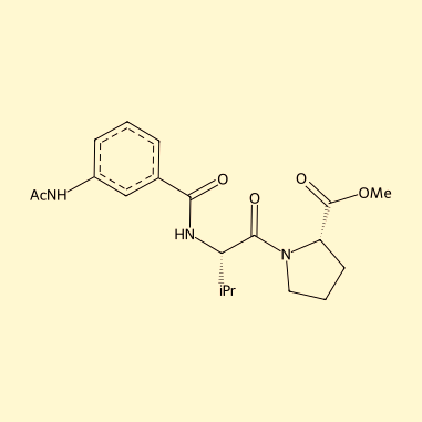 COC(=O)[C@@H]1CCCN1C(=O)[C@@H](NC(=O)c1cccc(NC(C)=O)c1)C(C)C